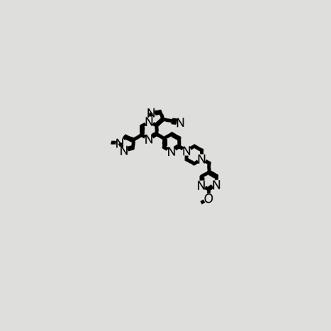 COc1ncc(CN2CCN(c3ccc(-c4nc(-c5cnn(C)c5)cn5ncc(C#N)c45)cn3)CC2)cn1